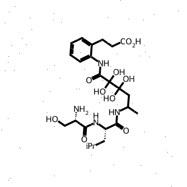 CC(C)C[C@H](NC(=O)[C@@H](N)CO)C(=O)NC(C)CC(O)(O)C(O)(O)C(=O)Nc1ccccc1CCC(=O)O